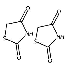 O=C1CSC(=O)N1.O=C1CSC(=O)N1